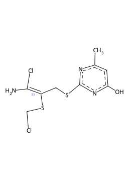 Cc1cc(O)nc(SC/C(SCCl)=C(/N)Cl)n1